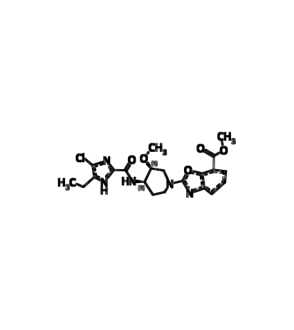 CCc1[nH]c(C(=O)N[C@@H]2CCN(c3nc4cccc(C(=O)OC)c4o3)C[C@@H]2OC)nc1Cl